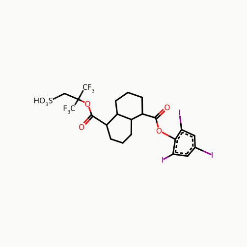 O=C(Oc1c(I)cc(I)cc1I)C1CCCC2C(C(=O)OC(CS(=O)(=O)O)(C(F)(F)F)C(F)(F)F)CCCC12